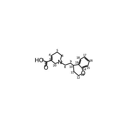 O=C(O)C1=CCCN(CCC2CCOc3ccccc32)C1